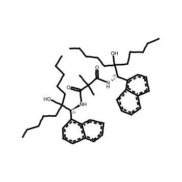 CCCCCC(O)(CCCCC)[C@@H](NC(=O)C(C)(C)C(=O)N[C@@H](c1cccc2ccccc12)C(O)(CCCCC)CCCCC)c1cccc2ccccc12